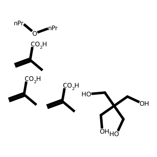 C=C(C)C(=O)O.C=C(C)C(=O)O.C=C(C)C(=O)O.CCCOCCC.OCC(CO)(CO)CO